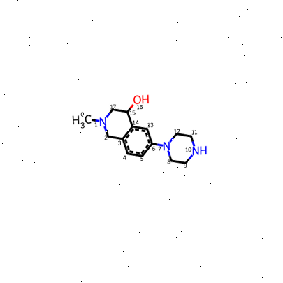 CN1Cc2ccc(N3CCNCC3)cc2C(O)C1